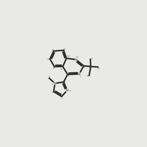 Cn1ccnc1-c1nc(C(C)(C)C)nc2ccccc12